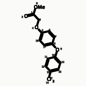 COC(=O)COc1ccc(Oc2ccc(C(F)(F)F)cc2)cc1